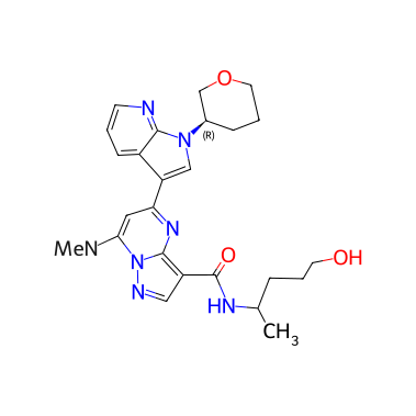 CNc1cc(-c2cn([C@@H]3CCCOC3)c3ncccc23)nc2c(C(=O)NC(C)CCCO)cnn12